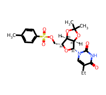 CCc1cn([C@@H]2O[C@H](COS(=O)(=O)c3ccc(C)cc3)[C@H]3OC(C)(C)O[C@H]32)c(=O)[nH]c1=O